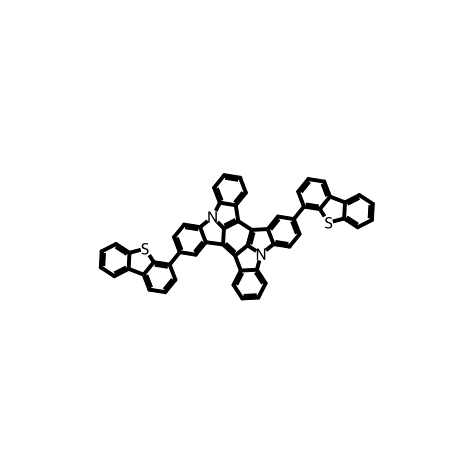 c1ccc2c(c1)sc1c(-c3ccc4c(c3)c3c5c6ccccc6n6c7ccc(-c8cccc9c8sc8ccccc89)cc7c(c7c8ccccc8n4c73)c56)cccc12